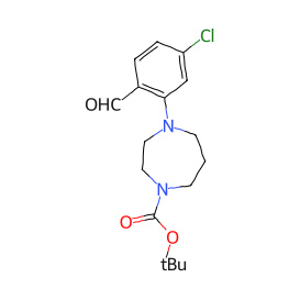 CC(C)(C)OC(=O)N1CCCN(c2cc(Cl)ccc2C=O)CC1